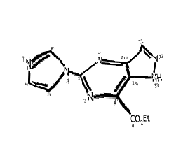 CCOC(=O)c1nc(-n2ccnc2)nc2cn[nH]c12